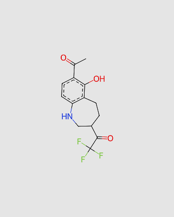 CC(=O)c1ccc2c(c1O)CCC(C(=O)C(F)(F)F)CN2